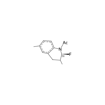 CC(=O)N1c2ccc(C)cc2CC(C)[C@@H]1F